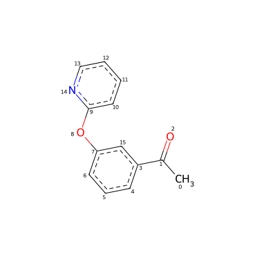 CC(=O)c1cccc(Oc2ccccn2)c1